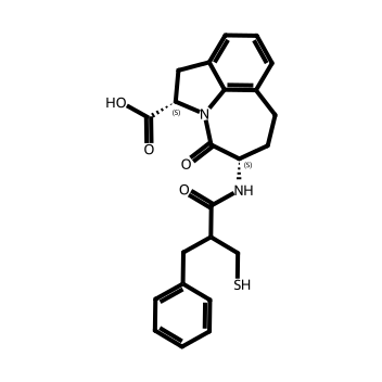 O=C(N[C@H]1CCc2cccc3c2N(C1=O)[C@H](C(=O)O)C3)C(CS)Cc1ccccc1